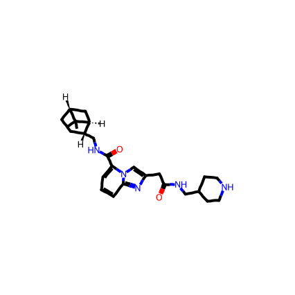 CC1(C)[C@@H]2CC[C@@H](CNC(=O)c3cccc4nc(CC(=O)NCC5CCNCC5)cn34)[C@@H]1C2